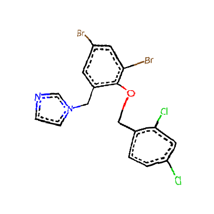 Clc1ccc(COc2c(Br)cc(Br)cc2Cn2ccnc2)c(Cl)c1